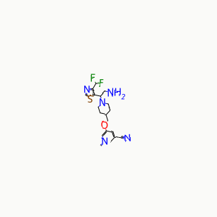 C=N/C=C(\C=C(/C)C#N)OCC1CCN(C(CN)c2scnc2C(F)F)CC1